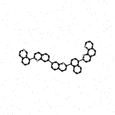 c1cc(-c2ccc3ccc(-c4ccc5ccc(-c6ccc(-c7ccc8ccc9cccnc9c8n7)c7ccccc67)nc5c4)cc3n2)c2cnccc2c1